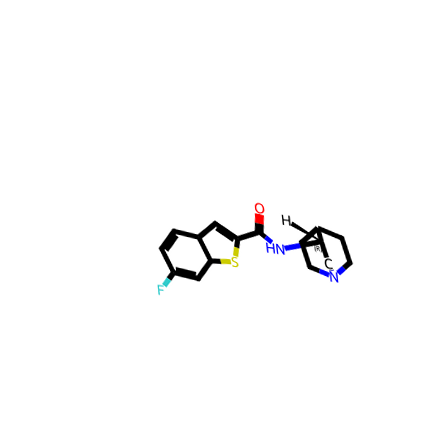 O=C(N[C@H]1CN2CCC1CC2)C1=CC2C=CC(F)=CC2S1